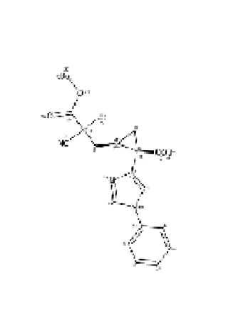 CCC(C#N)(C[C@H]1C[C@]1(C(=O)O)c1cn(-c2ccccc2)cn1)C(=O)OC(C)(C)C